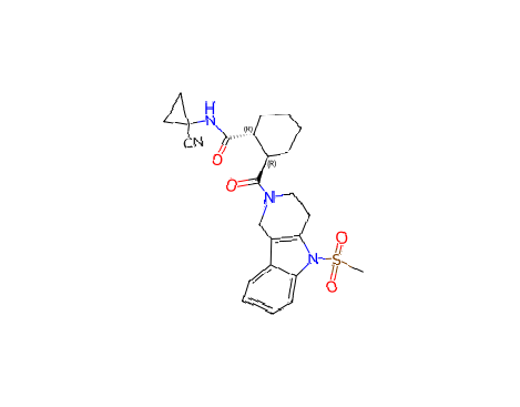 CS(=O)(=O)n1c2c(c3ccccc31)CN(C(=O)[C@@H]1CCCC[C@H]1C(=O)NC1(C#N)CC1)CC2